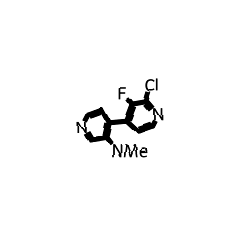 CNc1cnccc1-c1ccnc(Cl)c1F